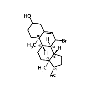 CC(=O)[C@H]1CC[C@H]2[C@@H]3C(Br)C=C4CC(O)CC[C@]4(C)[C@H]3CC[C@]12C